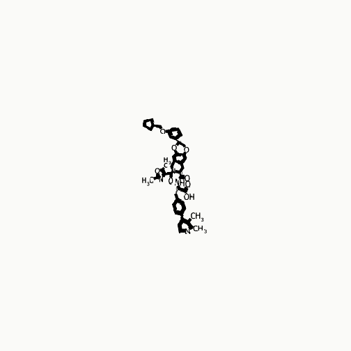 Cc1nc(C(=O)N2Cc3cc4c(cc3C[C@H]2C(=O)N[C@@H](Cc2ccc(-c3ccnc(C)c3C)cc2)C(=O)O)OC[C@H](c2cccc(OCC3CCCC3)c2)O4)c(C)o1